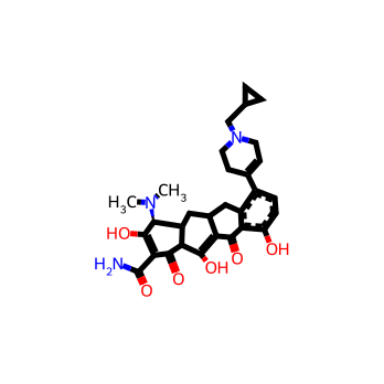 CN(C)[C@@H]1C(O)=C(C(N)=O)C(=O)C2C(O)=C3C(=O)c4c(O)ccc(C5=CCN(CC6CC6)CC5)c4CC3CC21